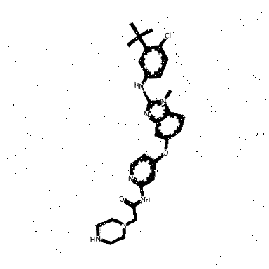 Cn1c(Nc2ccc(Cl)c(C(C)(C)C)c2)nc2cc(Oc3ccnc(NC(=O)CN4CCNCC4)c3)ccc21